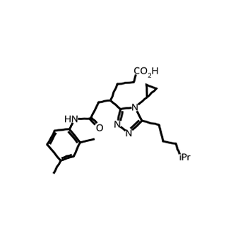 Cc1ccc(NC(=O)CC(CCC(=O)O)c2nnc(CCCC(C)C)n2C2CC2)c(C)c1